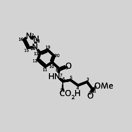 COC(=O)CCC[C@H](NC(=O)c1ccc(-n2ccnn2)cc1)C(=O)O